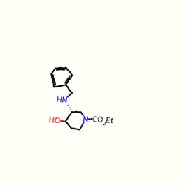 CCOC(=O)N1CC[C@@H](O)[C@H](NCc2ccccc2)C1